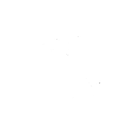 Cc1ccc(S(=O)(=O)N(CCCc2cc(C)ccc2S(=O)(=O)O)CCCc2cc(C)ccc2S(=O)(=O)O)cc1